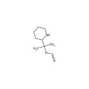 CC(C)(OC=O)C1CCCCN1